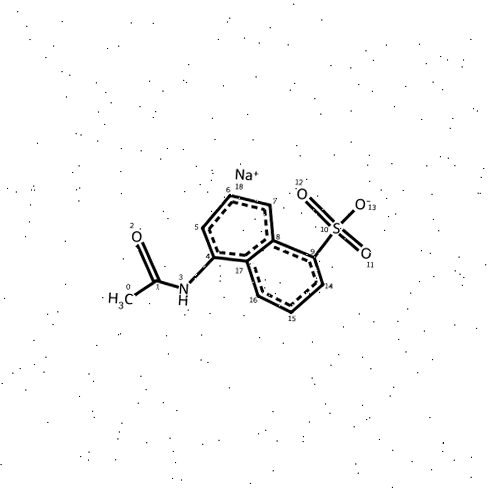 CC(=O)Nc1cccc2c(S(=O)(=O)[O-])cccc12.[Na+]